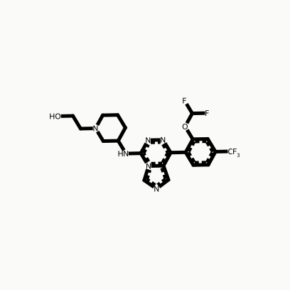 OCCN1CCCC(Nc2nnc(-c3ccc(C(F)(F)F)cc3OC(F)F)c3cncn23)C1